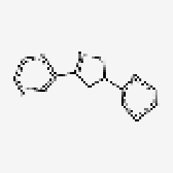 [c]1ccc(C2CC(c3cccnc3)=NO2)cc1